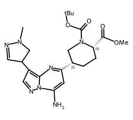 COC(=O)[C@@H]1CC[C@H](c2cc(N)n3ncc(C4C=NN(C)C4)c3n2)CN1C(=O)OC(C)(C)C